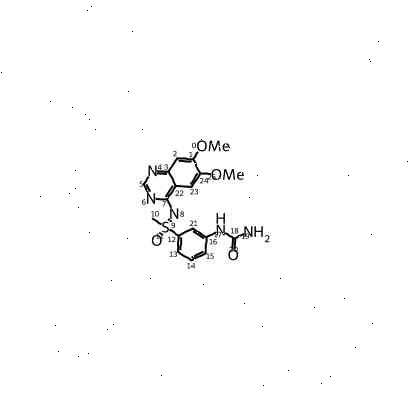 COc1cc2ncnc(N=S(C)(=O)c3cccc(NC(N)=O)c3)c2cc1OC